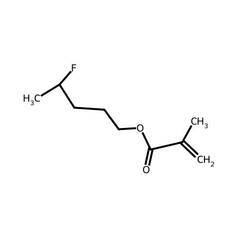 C=C(C)C(=O)OCCCC(C)F